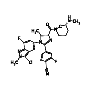 CN[C@@H]1CCCN(C(=O)c2nc(-c3ccc(C#N)c(F)c3)n(-c3cc(F)c4nn(C)c(Cl)c4c3)c2C)C1